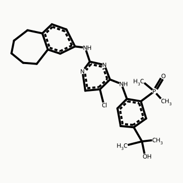 CC(C)(O)c1ccc(Nc2nc(Nc3ccc4c(c3)CCCCC4)ncc2Cl)c(P(C)(C)=O)c1